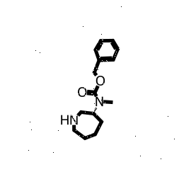 CN(C(=O)OCc1ccccc1)[C@@H]1CCCCNC1